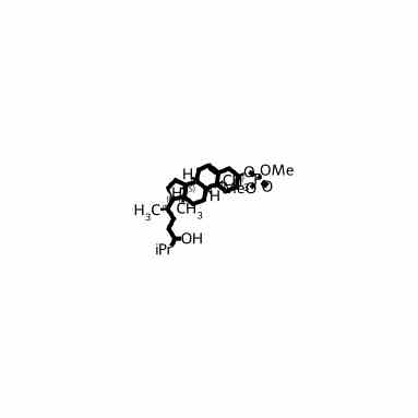 COP(=O)(OC)O[C@H]1CC[C@@]2(C)C(=CC[C@H]3[C@@H]4CC[C@H]([C@H](C)CCC(O)C(C)C)[C@@]4(C)CC[C@@H]32)C1